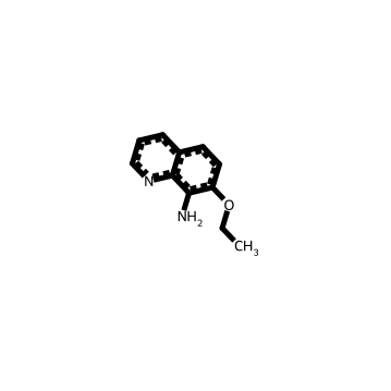 CCOc1ccc2cccnc2c1N